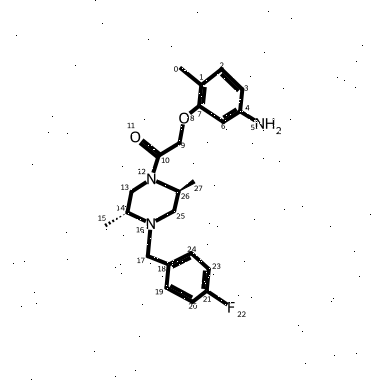 Cc1ccc(N)cc1OCC(=O)N1C[C@@H](C)N(Cc2ccc(F)cc2)C[C@@H]1C